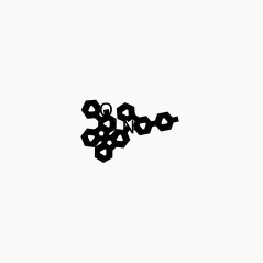 Cc1ccc(-c2ccc3c(c2)c2ccccc2n3-c2ccc3c(c2)C2(c4ccccc4-3)c3ccccc3-c3c2ccc2oc4ccccc4c32)cc1